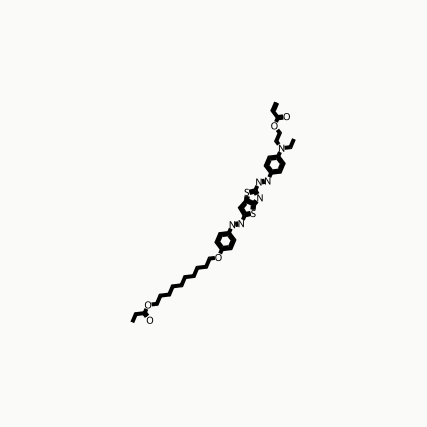 C=CC(=O)OCCN(CC)c1ccc(N=Nc2nc3sc(N=Nc4ccc(OCCCCCCCCCCOC(=O)CC)cc4)cc3s2)cc1